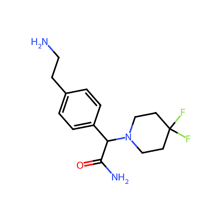 NCCc1ccc(C(C(N)=O)N2CCC(F)(F)CC2)cc1